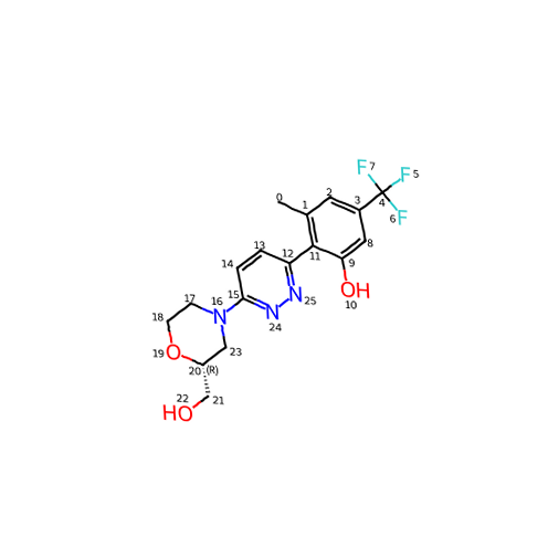 Cc1cc(C(F)(F)F)cc(O)c1-c1ccc(N2CCO[C@@H](CO)C2)nn1